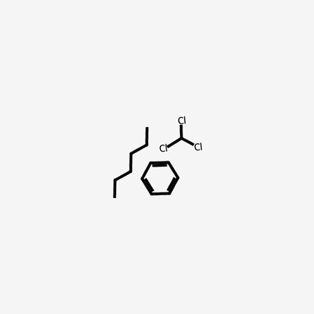 CCCCCC.ClC(Cl)Cl.c1ccccc1